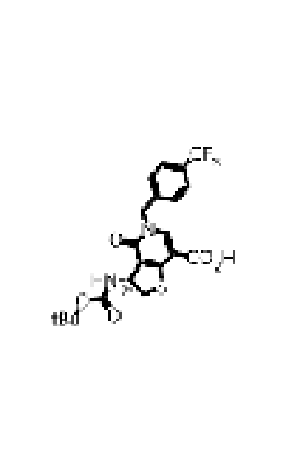 CC(C)(C)OC(=O)N[C@H]1CSc2c(C(=O)O)cn(Cc3ccc(C(F)(F)F)cc3)c(=O)c21